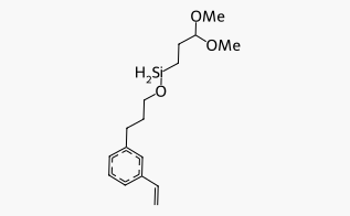 C=Cc1cccc(CCCO[SiH2]CCC(OC)OC)c1